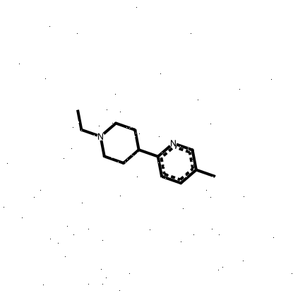 CCN1CCC(c2ccc(C)cn2)CC1